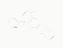 CC1C=C(Oc2ccccc2)C(C)C2=C1C(C)(C)C=CC2(C)c1ccccc1